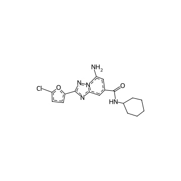 Nc1cc(C(=O)NC2CCCCC2)cc2nc(-c3ccc(Cl)o3)nn12